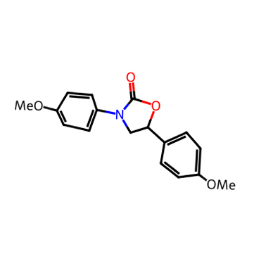 COc1ccc(C2CN(c3ccc(OC)cc3)C(=O)O2)cc1